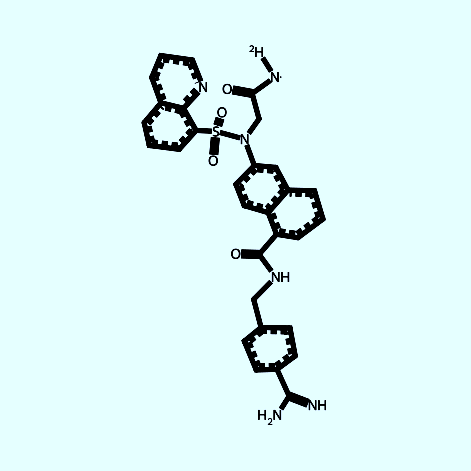 [2H][N]C(=O)CN(c1ccc2c(C(=O)NCc3ccc(C(=N)N)cc3)cccc2c1)S(=O)(=O)c1cccc2cccnc12